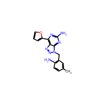 Cc1ccc(N)c(Cn2nnc3c(-c4ccco4)nc(N)nc32)c1